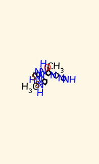 COc1cc(N2CCC(N3CCNCC3)CC2)ccc1Nc1nc(Nc2ccccc2NSC)c2sccc2n1